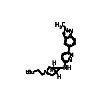 Cn1cc2cc(-c3ccc(NC4[C@@H]5CN(CCC(C)(C)C)C[C@@H]45)nn3)ccc2n1